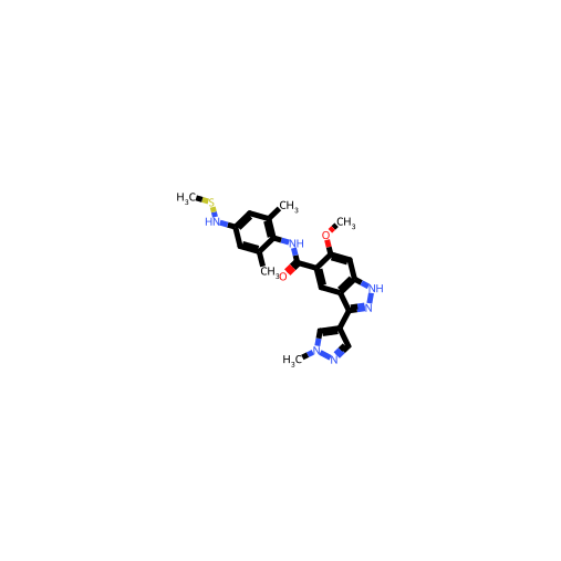 COc1cc2[nH]nc(-c3cnn(C)c3)c2cc1C(=O)Nc1c(C)cc(NSC)cc1C